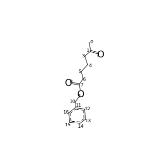 CC(=O)CCCCC(=O)OCc1ccccc1